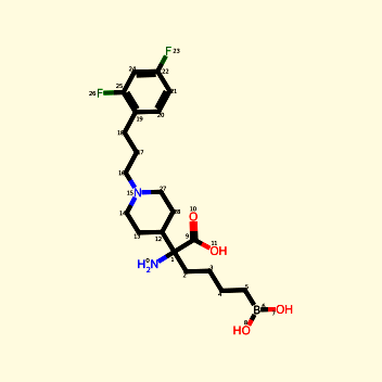 NC(CCCCB(O)O)(C(=O)O)C1CCN(CCCc2ccc(F)cc2F)CC1